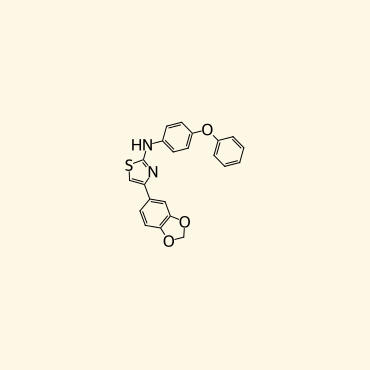 c1ccc(Oc2ccc(Nc3nc(-c4ccc5c(c4)OCO5)cs3)cc2)cc1